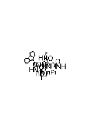 CCCC[C@@H](NC(=O)OCC1c2ccccc2-c2ccccc21)C(=O)N[C@@H](CCC)C(=O)N[C@@H](C[C@@H]1CCNC1=O)C(=O)C(=O)NC1CC1